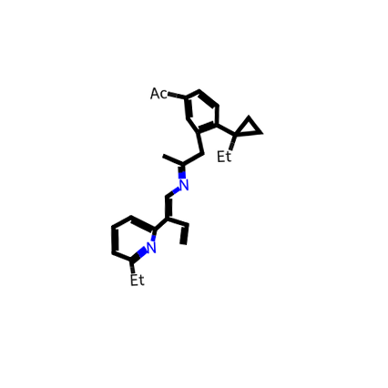 C=C/C(=C\N=C(/C)Cc1cc(C(C)=O)ccc1C1(CC)CC1)c1cccc(CC)n1